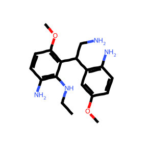 CCNc1c(N)ccc(OC)c1C(CN)c1cc(OC)ccc1N